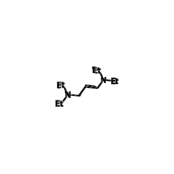 CCN(C=CCN(CC)CC)CC